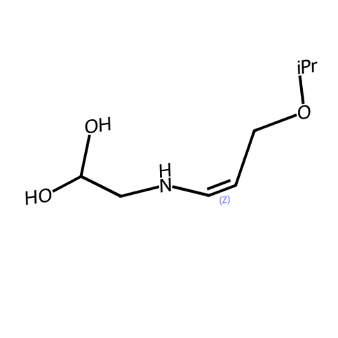 CC(C)OC/C=C\NCC(O)O